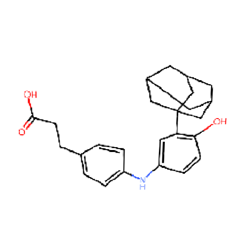 O=C(O)CCc1ccc(Nc2ccc(O)c(C34CC5CC(CC(C5)C3)C4)c2)cc1